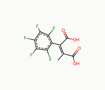 CC(C(=O)O)=C(C(=O)O)c1c(F)c(F)c(F)c(F)c1F